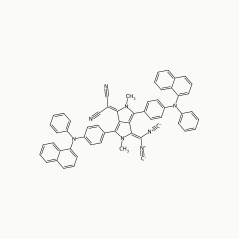 [C-]#[N+]C([N+]#[C-])=c1c2c(-c3ccc(N(c4ccccc4)c4cccc5ccccc45)cc3)n(C)c(=C(C#N)C#N)c2c(-c2ccc(N(c3ccccc3)c3cccc4ccccc34)cc2)n1C